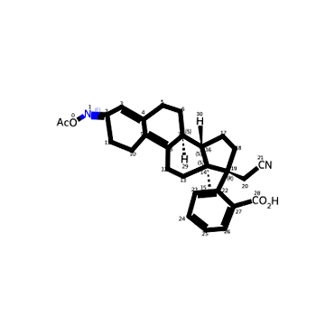 CC(=O)O/N=C1/C=C2CC[C@@H]3C(=C2CC1)CC[C@@]1(C)[C@H]3CC[C@]1(CC#N)c1ccccc1C(=O)O